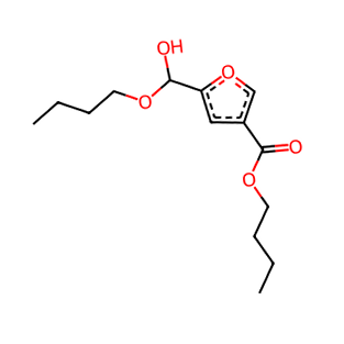 CCCCOC(=O)c1coc(C(O)OCCCC)c1